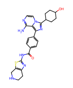 Nc1nccn2c(C3CCC(O)CC3)nc(-c3ccc(C(=O)Nc4nc5c(s4)CNCC5)cc3)c12